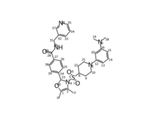 CC1=C(C)N(S(=O)(=O)C2CCN(c3cccc(N(C)C)c3)CC2)C(c2ccc(C(=O)NCc3cccnc3)cc2)O1